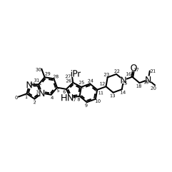 Cc1cn2cc(-c3[nH]c4ccc(C5CCN(C(=O)CN(C)C)CC5)cc4c3C(C)C)cc(C)c2n1